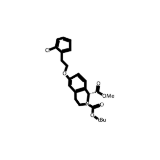 COC(=O)[C@H]1c2ccc(OCCc3ccccc3Cl)cc2CCN1C(=O)OC(C)(C)C